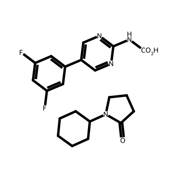 O=C(O)Nc1ncc(-c2cc(F)cc(F)c2)cn1.O=C1CCCN1C1CCCCC1